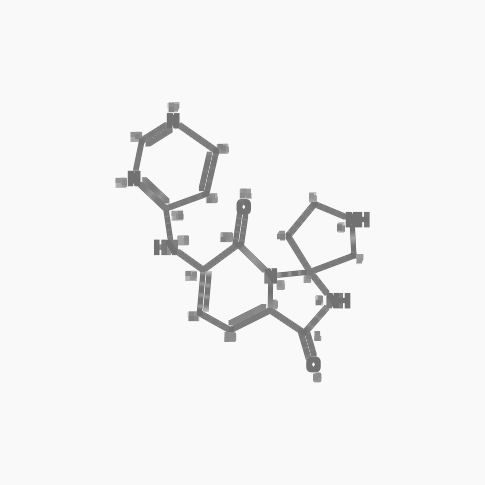 O=C1NC2(CCNC2)n2c1ccc(Nc1ccncn1)c2=O